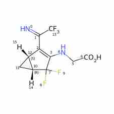 N=C(C1=C(NCC(=O)O)C(F)(F)[C@@H]2C[C@H]12)C(F)(F)F